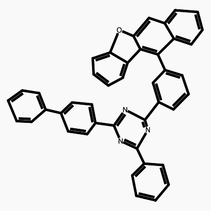 c1ccc(-c2ccc(-c3nc(-c4ccccc4)nc(-c4cccc(-c5c6ccccc6cc6oc7ccccc7c56)c4)n3)cc2)cc1